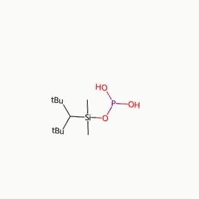 CC(C)(C)C(C(C)(C)C)[Si](C)(C)OP(O)O